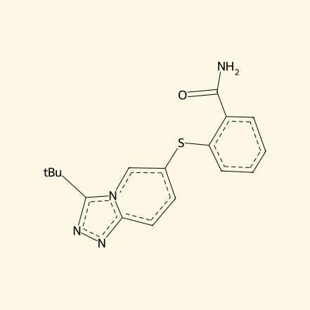 CC(C)(C)c1nnc2ccc(Sc3ccccc3C(N)=O)cn12